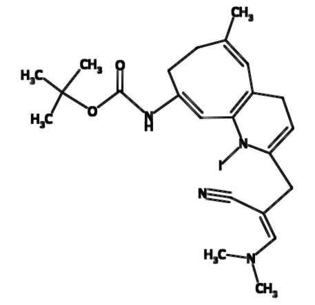 C/C1=C/C2=C(/C=C(/NC(=O)OC(C)(C)C)CC1)N(I)C(C/C(C#N)=C/N(C)C)=CC2